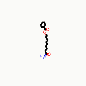 NC(=O)CCCCCCCCOC(=O)c1ccccc1